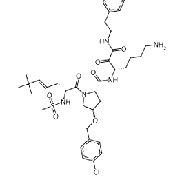 CC(C)(C)/C=C/C[C@@H](NS(C)(=O)=O)C(=O)N1C[C@H](OCc2ccc(Cl)cc2)C[C@H]1C(=O)N[C@@H](CCCCN)C(=O)C(=O)NCCc1ccccc1